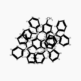 Cc1cc([Si](c2ccccc2)(c2ccccc2)c2ccccc2)c2c(c1)[Si](c1ccccc1)(c1ccccc1)c1cc([Si](c3ccccc3)(c3ccccc3)c3ccccc3)cc([Si](c3ccccc3)(c3ccccc3)c3ccccc3)c1O2